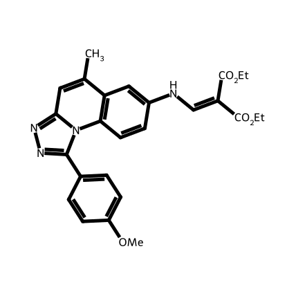 CCOC(=O)C(=CNc1ccc2c(c1)c(C)cc1nnc(-c3ccc(OC)cc3)n12)C(=O)OCC